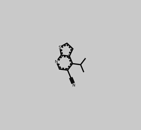 CC(C)c1c(C#N)cnc2sccc12